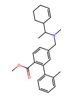 COC(=O)c1ccc(CN(C)C(C)C2C=CCCC2)cc1-c1ccccc1C